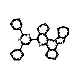 c1ccc(-c2cc(-c3nc4c5ccccc5c5sc6ccccc6c5c4c4ccccc34)nc(-c3ccccc3)n2)cc1